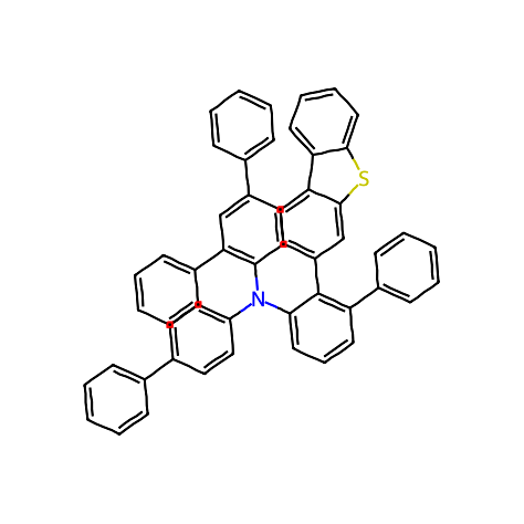 c1ccc(-c2ccc(N(c3ccc(-c4ccccc4)cc3-c3ccccc3)c3cccc(-c4ccccc4)c3-c3ccc4c(c3)sc3ccccc34)cc2)cc1